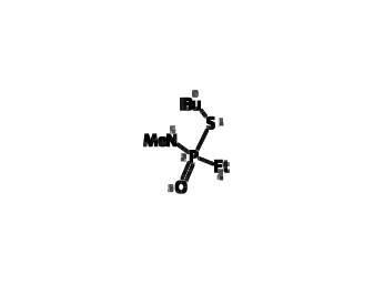 CCC(C)SP(=O)(CC)NC